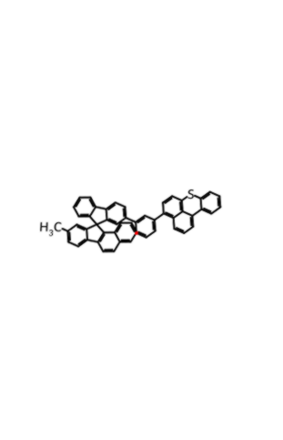 Cc1ccc2c(c1)C1(c3ccccc3-c3ccc(-c4cccc(-c5ccc6c7c(cccc57)-c5ccccc5S6)c4)cc31)c1c-2ccc2ccccc12